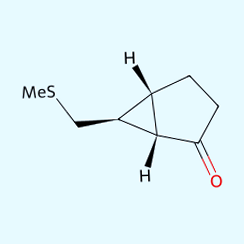 CSC[C@H]1[C@@H]2CCC(=O)[C@@H]21